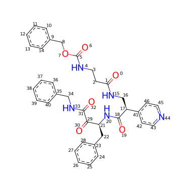 O=C(CCNC(=O)OCc1ccccc1)NC[C@H](C(=O)N[C@@H](Cc1ccccc1)C(=O)C(=O)NCc1ccccc1)c1ccncc1